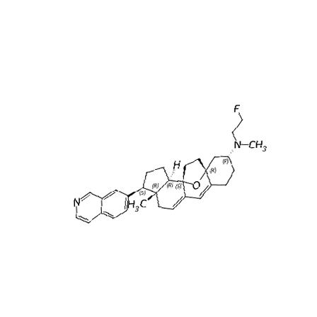 CN(CCF)[C@@H]1CCC2=CC3=CC[C@]4(C)[C@@H](c5ccc6ccncc6c5)CC[C@H]4[C@@]34CC[C@]2(C1)O4